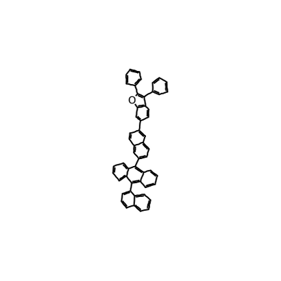 c1ccc(-c2oc3cc(-c4ccc5cc(-c6c7ccccc7c(-c7cccc8ccccc78)c7ccccc67)ccc5c4)ccc3c2-c2ccccc2)cc1